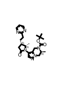 C[C@H]1Cn2ncc(N3C(=O)C[C@H](CCc4ncccn4)[C@@H]3C)c2CN1C(=O)OC(C)(C)C